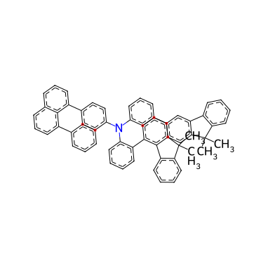 CC1(C)c2ccccc2-c2cc(-c3cccc(N(c4ccc(-c5cccc6cccc(-c7ccccc7)c56)cc4)c4ccccc4-c4cccc5c4-c4ccccc4C5(C)C)c3)ccc21